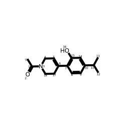 CC(=O)N1CC=C(c2ccc(C(C)C)cc2O)CC1